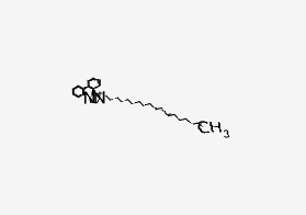 CCCCCCCCCCCCCCCCCCN1CC[n+]2c1c1ccccc1c1ccccc12